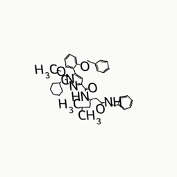 COc1cccc(OCc2ccccc2)c1-c1cc(C(=O)NC(CC(=O)NCc2ccccc2)CC(C)C)nn1CC1CCCCC1